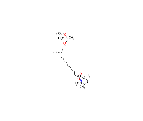 CCCCCCCCOC(C)(C)COCCCC(CCCC)CCCCCCCCCC(=O)ON1C(C)(C)CCCC1(C)C